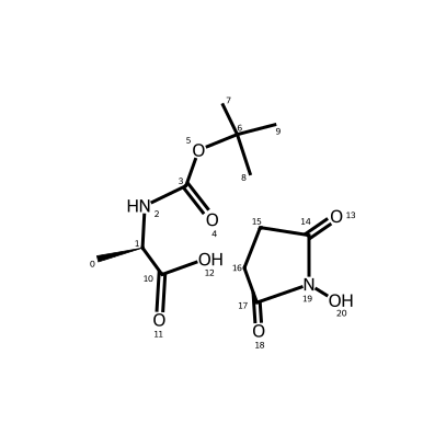 C[C@@H](NC(=O)OC(C)(C)C)C(=O)O.O=C1CCC(=O)N1O